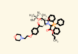 C=CCOC(=O)C(N1C(=O)[C@H]([C@@H](C)O[Si](C)(C)C(C)(C)C)[C@H]1CC(=O)c1ccc(OCCN2CCOCC2)cc1)=P(c1ccccc1)(c1ccccc1)c1ccccc1